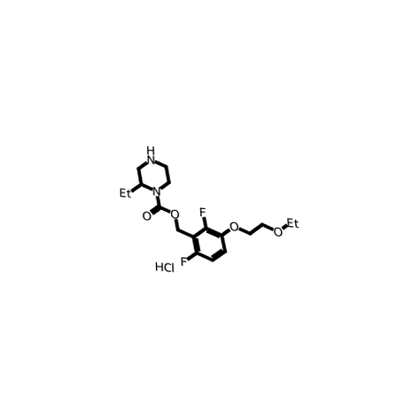 CCOCCOc1ccc(F)c(COC(=O)N2CCNCC2CC)c1F.Cl